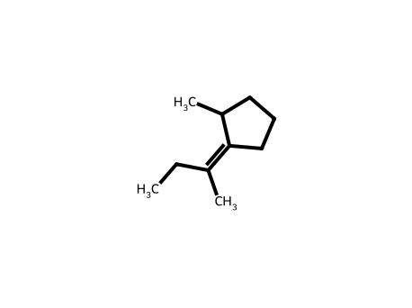 CCC(C)=C1CCCC1C